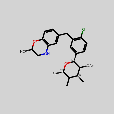 CC[C@H]1O[C@@H](c2ccc(Cl)c(Cc3ccc4c(c3)NCC(C#N)O4)c2)C(OC(C)=O)[C@@H](C)C1C